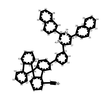 N#Cc1cccc2c1-c1cc(-c3cccc(-c4cc(-c5ccc6ccccc6c5)nc(-c5ccc6ccccc6c5)n4)c3)ccc1C21c2ccccc2-c2ccccc21